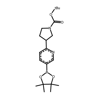 CC(C)(C)OC(=O)N1CCC(c2ccc(B3OC(C)(C)C(C)(C)O3)cn2)C1